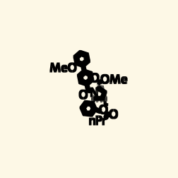 CCCC(=O)OC[C@H]1C[C@@H](C(=O)OC)N(C(=O)c2ccc(-c3ccccc3OC)cc2)[C@H]1c1ccccc1C